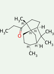 CCC(=O)[C@]1(C)CC[C@H]2C(C)(C)[C@@H]3C[C@@]21CC[C@H]3C